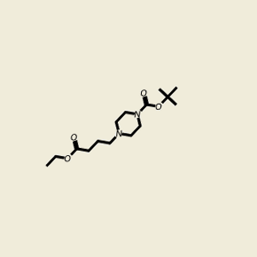 CCOC(=O)CCCN1CCN(C(=O)OC(C)(C)C)CC1